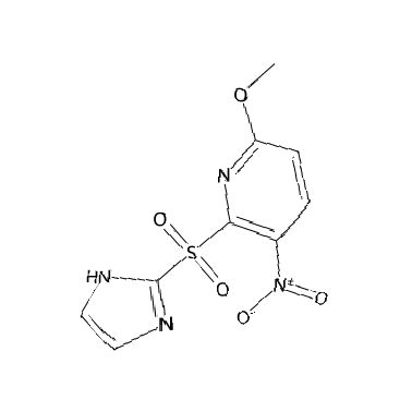 COc1ccc([N+](=O)[O-])c(S(=O)(=O)c2ncc[nH]2)n1